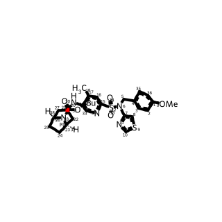 COc1ccc(CN(c2cscn2)S(=O)(=O)c2cc(C)c(NC3C[C@H]4CC[C@@H](C3)N4C(=O)OC(C)(C)C)cn2)cc1